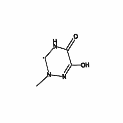 CN1[CH]NC(=O)C(O)=N1